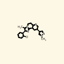 Cc1c(-c2ccccc2Cl)nc2c3cc(-c4cnn(C)c4)cnc3ccn12